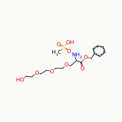 CS(=O)(=O)O.NC(COCCOCCOCCO)C(=O)OCc1ccccc1